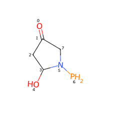 O=C1CC(O)N(P)C1